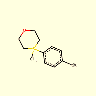 CC(C)(C)c1ccc(S2(C)CCOCC2)cc1